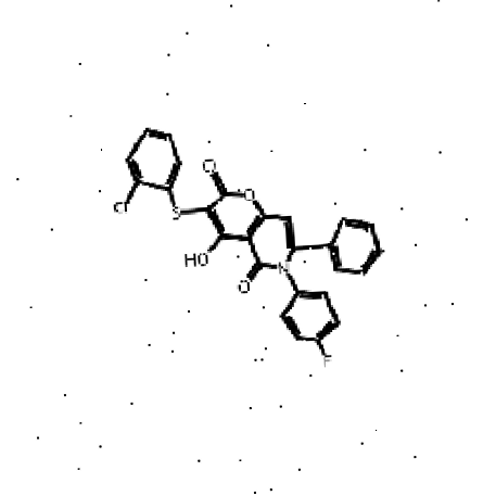 O=c1oc2cc(-c3ccccc3)n(-c3ccc(F)cc3)c(=O)c2c(O)c1Sc1ccccc1Cl